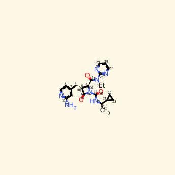 CCN(C(=O)[C@@H]1[C@@H](Cc2ccnc(N)c2)C(=O)N1C(=O)NC(C1CC1)C(F)(F)F)c1ncccn1